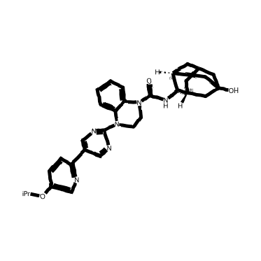 CC(C)Oc1ccc(-c2cnc(N3CCN(C(=O)NC4[C@@H]5CC6C[C@H]4CC(O)(C6)C5)c4ccccc43)nc2)nc1